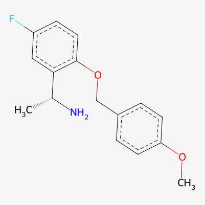 COc1ccc(COc2ccc(F)cc2[C@@H](C)N)cc1